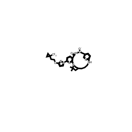 CC1(C)CC2CCCNc3ccc(cn3)[S+]([O-])NC(=O)c3ccc(-n4ccc(OCCC5(C(F)(F)F)CC5)n4)nc3N1C2